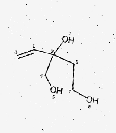 C=CC(O)(CO)CCO